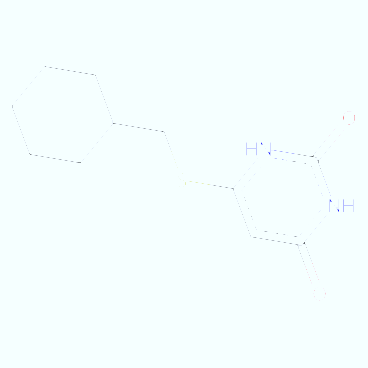 O=c1cc(SCC2CCCCC2)[nH]c(=O)[nH]1